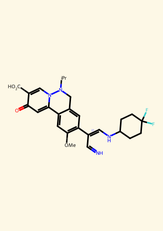 COc1cc2c(cc1/C(C=N)=C/NC1CCC(F)(F)CC1)CN(C(C)C)n1cc(C(=O)O)c(=O)cc1-2